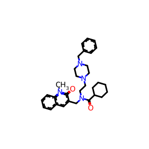 Cn1c(=O)c(CN(CCN2CCN(Cc3ccccc3)CC2)C(=O)C2CCCCC2)cc2ccccc21